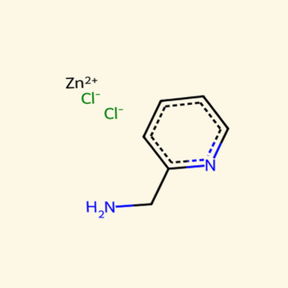 NCc1ccccn1.[Cl-].[Cl-].[Zn+2]